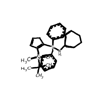 CC(C)(C)[Si](C)(C)C1=C([Si](NC2CCCCC2)(c2ccccc2)c2ccccc2)CC=C1